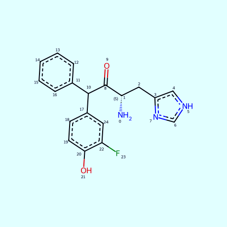 N[C@@H](Cc1c[nH]cn1)C(=O)C(c1ccccc1)c1ccc(O)c(F)c1